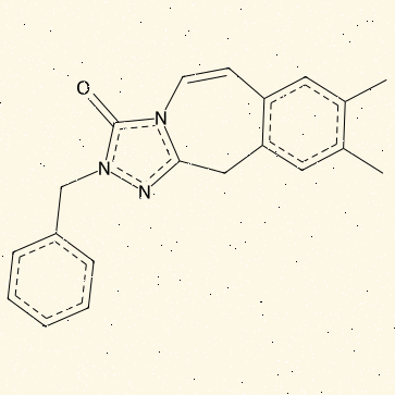 Cc1cc2c(cc1C)Cc1nn(Cc3ccccc3)c(=O)n1C=C2